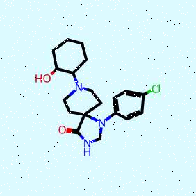 O=C1NCN(c2ccc(Cl)cc2)C12CCN(C1CCCCC1O)CC2